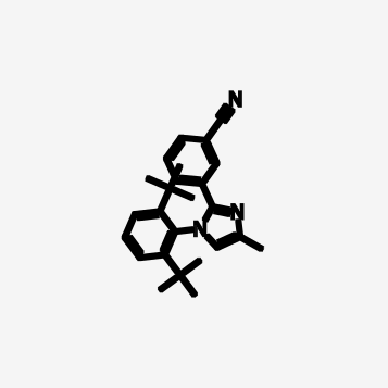 Cc1cn(-c2c(C(C)(C)C)cccc2C(C)(C)C)c(-c2cccc(C#N)c2)n1